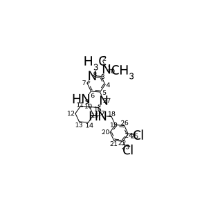 CN(C)c1cc2c(cn1)NC1(CCCCC1)C(NCc1ccc(Cl)c(Cl)c1)=N2